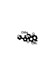 COC(=O)CC1C2(C)C3=C(C)C(c4ccoc4)CC3OC2C(OC(C)=O)C2C(C)(O)C=CC(=O)C21C